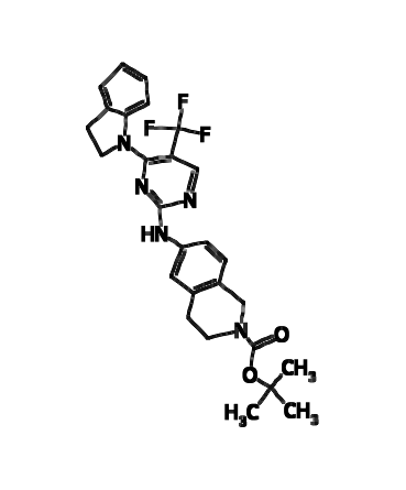 CC(C)(C)OC(=O)N1CCc2cc(Nc3ncc(C(F)(F)F)c(N4CCc5ccccc54)n3)ccc2C1